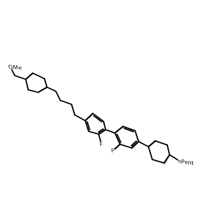 CCCCCC1CCC(c2ccc(-c3ccc(CCCCC4CCC(COC)CC4)cc3F)c(F)c2)CC1